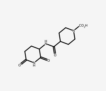 O=C1CCC(NC(=O)C2CCN(C(=O)O)CC2)C(=O)N1